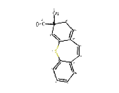 N#CC1(C=O)C=C2Sc3ccccc3C=CC2=CC1